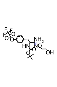 CC(C)(C)OC(=O)NC(Cc1ccc(OS(=O)(=O)C(F)(F)F)cc1)/C(N)=N/OCCO